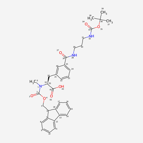 CN(C(=O)OCC1c2ccccc2-c2ccccc21)[C@@H](Cc1cccc(C(=O)NCCCNC(=O)OC(C)(C)C)c1)C(=O)O